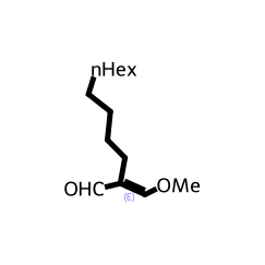 CCCCCCCCCC/C(C=O)=C\OC